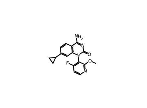 COc1nccc(F)c1-n1c(=O)nc(N)c2ccc(C3CC3)cc21